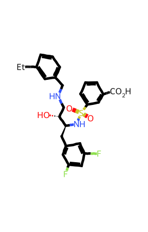 CCc1cccc(CNC[C@@H](O)[C@H](Cc2cc(F)cc(F)c2)NS(=O)(=O)c2cccc(C(=O)O)c2)c1